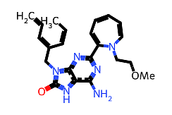 C=C/C=C(\C=C/C)Cn1c(=O)[nH]c2c(N)nc(C3=CC=CC=CN3CCOC)nc21